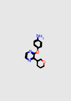 Nc1ccc(Oc2nccnc2C2CCCOC2)cc1